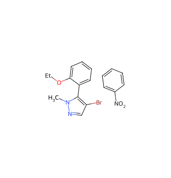 CCOc1ccccc1-c1c(Br)cnn1C.O=[N+]([O-])c1ccccc1